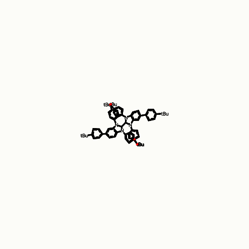 CC(C)(C)c1ccc(-c2ccc3c(c2)N(c2ccc(C(C)(C)C)cc2)C(C2N(c4ccc(C(C)(C)C)cc4)c4ccc(-c5ccc(C(C)(C)C)cc5)cc4N2c2ccc(C(C)(C)C)cc2)N3c2ccc(C(C)(C)C)cc2)cc1